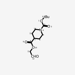 CC(C)(C)OC(=O)N1CCC(C(=O)OCC=O)CC1